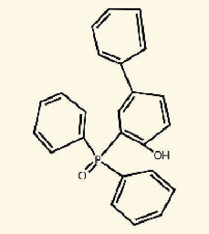 O=P(c1ccccc1)(c1ccccc1)c1cc(-c2ccccc2)ccc1O